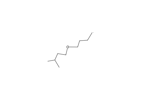 [CH2]CCCOCCC(C)C